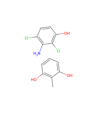 Cc1c(O)cccc1O.Nc1c(Cl)ccc(O)c1Cl